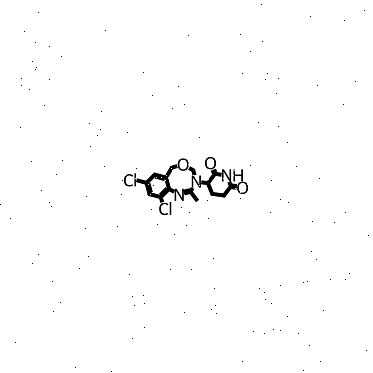 C/C1=N/c2c(Cl)cc(Cl)cc2COCN1C1CCC(=O)NC1=O